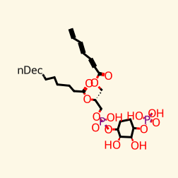 C#CC#CC#CC(=O)OC[C@H](COP(=O)(O)OC1CCC(OP(=O)(O)O)[C@@H](O)[C@H]1O)OC(=O)CCCCCCCCCCCCCCC